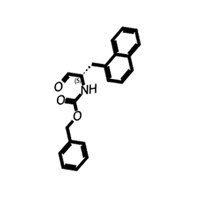 O=C[C@H](Cc1cccc2ccccc12)NC(=O)OCc1ccccc1